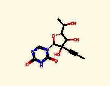 CC#CC1(O)C(O)[C@@H]([C@@H](C)O)O[C@H]1n1cnc(=O)[nH]c1=O